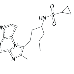 Cc1nc2cnc3[nH]ccc3n2c1C1CC(NS(=O)(=O)C2CC2)CC1C